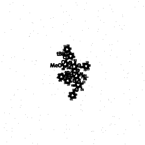 CO[C@H]1OC(CO[Si](c2ccccc2)(c2ccccc2)C(C)(C)C)[C@H](O[C@@H]2OC(C)[C@@H](O[C@H]3OC(CO[Si](c4ccccc4)(c4ccccc4)C(C)(C)C)[C@H](O[C@@H]4OC(C)[C@@H](C)[C@@H](OCc5ccccc5)C4C)[C@H](C)C3N=[N+]=[N-])[C@@H](OCc3ccccc3)C2C)[C@H](C)C1C